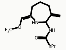 C=C1CCC/C(=C/OC(F)(F)F)NC1NC(=O)CCC